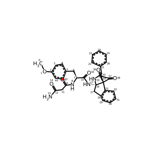 COc1ccc(C[C@H](NC(=O)[CH]C(N)=O)C(=O)N[C@@]2(NCc3ccccc3)Cc3ccccc3C23C(=O)C3=O)cc1